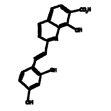 O=C(O)c1ccc2ccc(C=Cc3ccc(O)cc3O)nc2c1O